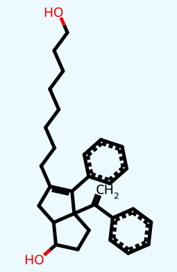 C=C(c1ccccc1)C12CCC(O)C1CC(CCCCCCCCO)=C2c1ccccc1